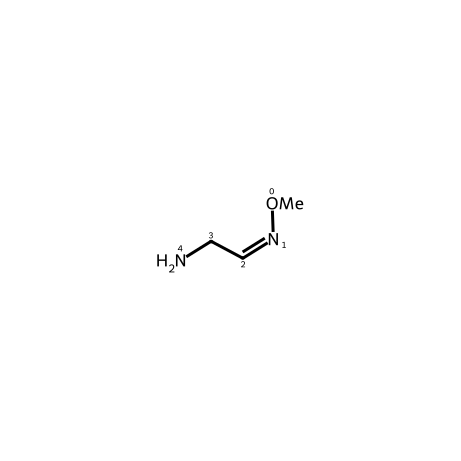 CO/N=C\CN